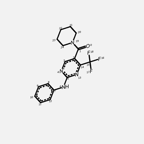 O=C(c1cnc(Nc2ccccc2)nc1C(F)(F)F)N1CCCCC1